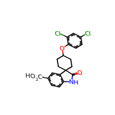 O=C(O)c1ccc2c(c1)C1(CCC(Oc3ccc(Cl)cc3Cl)CC1)C(=O)N2